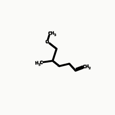 C=CC[CH]C(C)COC